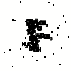 CCn1c2ccc(-c3nc4c(C)c(C(=O)O)ccc4n3CCOC)cc2c2c(Cl)c(C)ccc21